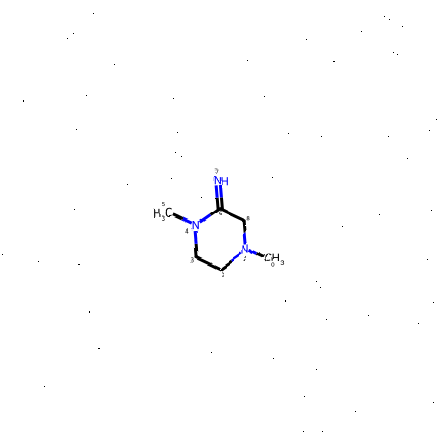 CN1CCN(C)C(=N)C1